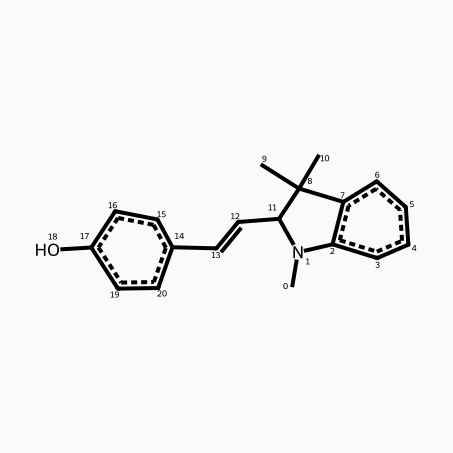 CN1c2ccccc2C(C)(C)C1/C=C/c1ccc(O)cc1